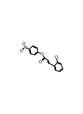 O=C(C=Cc1ccccc1Cl)Oc1ccc([N+](=O)[O-])cc1